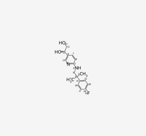 CC(C)(CNc1ccc(C(O)CO)cn1)c1ccc(F)cc1